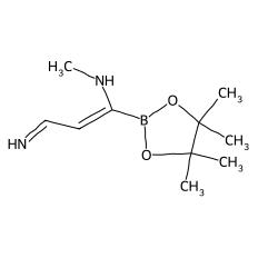 CN/C(=C\C=N)B1OC(C)(C)C(C)(C)O1